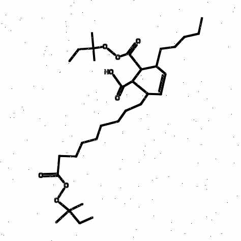 CCCCCC1C=CC(CCCCCCCCC(=O)OOC(C)(C)CC)C(C(=O)O)C1C(=O)OOC(C)(C)CC